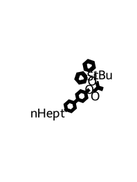 C=C(CO[Si](c1ccccc1)(c1ccccc1)C(C)(C)C)C(=O)OC1CCC(C2CCC(CCCCCCC)CC2)CC1